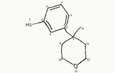 CC1(c2cccc(S)c2)CCOCC1